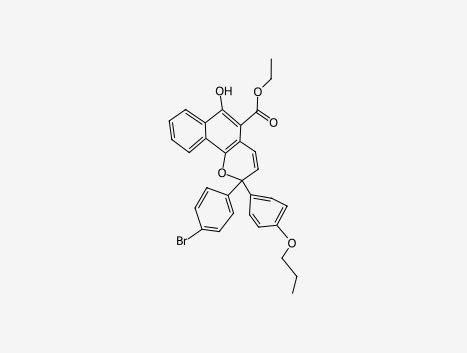 CCCOc1ccc(C2(c3ccc(Br)cc3)C=Cc3c(C(=O)OCC)c(O)c4ccccc4c3O2)cc1